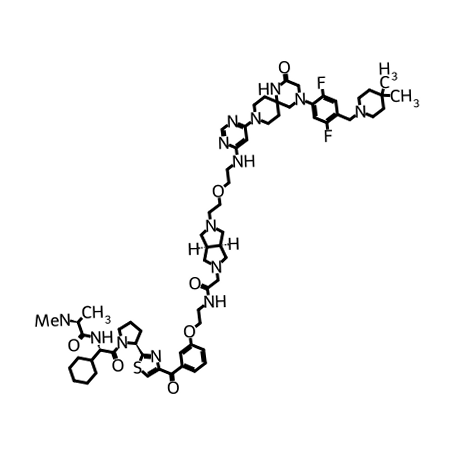 CN[C@@H](C)C(=O)N[C@H](C(=O)N1CCC[C@H]1c1nc(C(=O)c2cccc(OCCNC(=O)CN3C[C@H]4CN(CCOCCNc5cc(N6CCC7(CC6)CN(c6cc(F)c(CN8CCC(C)(C)CC8)cc6F)CC(=O)N7)ncn5)C[C@H]4C3)c2)cs1)C1CCCCC1